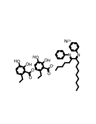 CCCCCCCCC(=Nc1ccccc1)C(CCCCC)=Nc1ccccc1.CCc1ccc(O)c(O)c1C(=O)[O-].CCc1ccc(O)c(O)c1C(=O)[O-].[Ni+2]